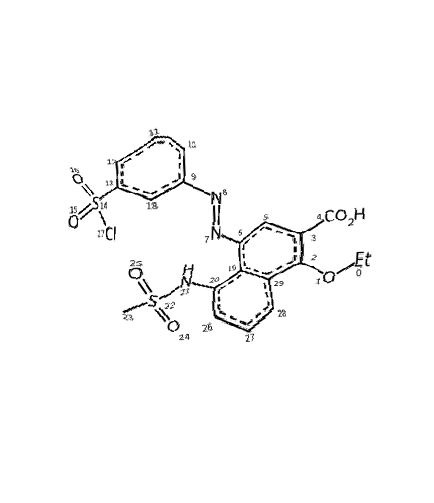 CCOc1c(C(=O)O)cc(N=Nc2cccc(S(=O)(=O)Cl)c2)c2c(NS(C)(=O)=O)cccc12